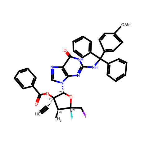 C#C[C@]1(OC(=O)c2ccccc2)[C@H](n2cnc3c(=O)[nH]c(NC(c4ccccc4)(c4ccccc4)c4ccc(OC)cc4)nc32)O[C@](F)(CI)[C@H]1C